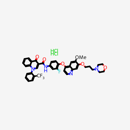 COc1cc2c(Oc3ccc(NC(=O)c4cn(-c5ccccc5C(F)(F)F)c5ccccc5c4=O)cc3F)ccnc2cc1OCCCN1CCOCC1.Cl.Cl